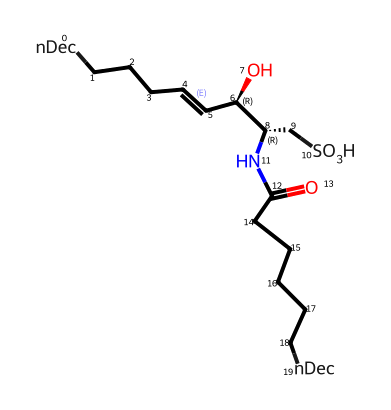 CCCCCCCCCCCCC/C=C/[C@@H](O)[C@H](CS(=O)(=O)O)NC(=O)CCCCCCCCCCCCCCC